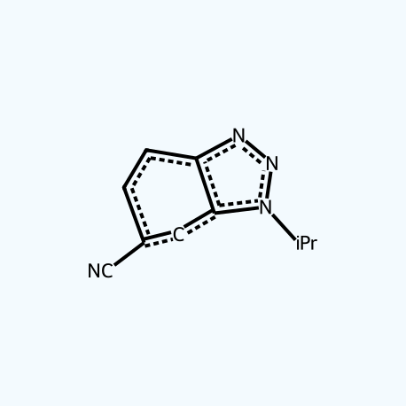 CC(C)n1nnc2ccc(C#N)cc21